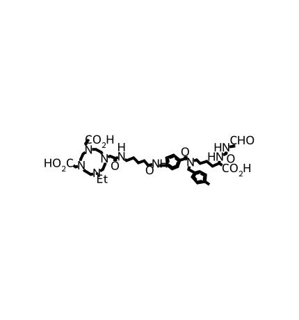 CCN1CCN(CC(=O)O)CCN(CC(=O)O)CCN(CC(=O)NCCCCC(=O)NCc2ccc(C(=O)N(CCCCC(NC(=O)NCC=O)C(=O)O)Cc3ccc(C)cc3)cc2)CC1